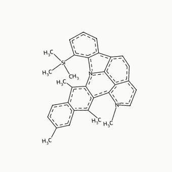 Cc1ccc2c(C)c3c(c(C)c2c1)c1c2c(ccc4c5cccc([Si](C)(C)C)c5n3c42)cc[n+]1C